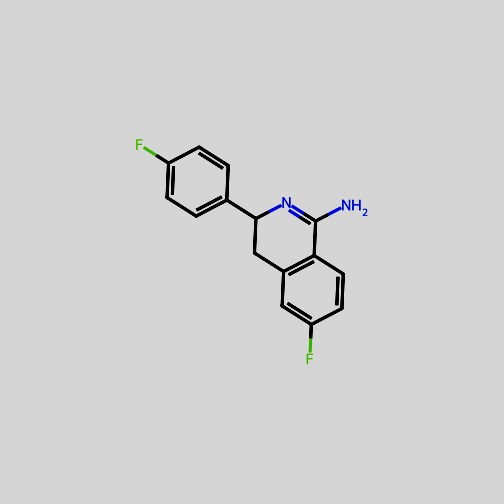 NC1=NC(c2ccc(F)cc2)Cc2cc(F)ccc21